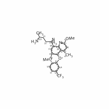 COc1cc(C)c2c(Oc3cccc(C(F)(F)F)c3)c(OC)cc(C(N)CCC(C)N)c2n1